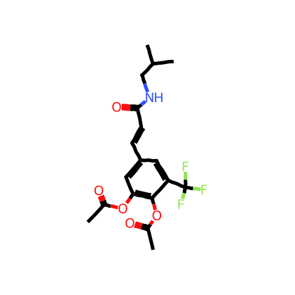 CC(=O)Oc1cc(/C=C/C(=O)NCC(C)C)cc(C(F)(F)F)c1OC(C)=O